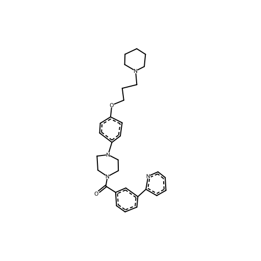 O=C(c1cccc(-c2ccccn2)c1)N1CCN(c2ccc(OCCCN3CCCCC3)cc2)CC1